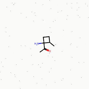 CC(=O)C1(N)CCC1C